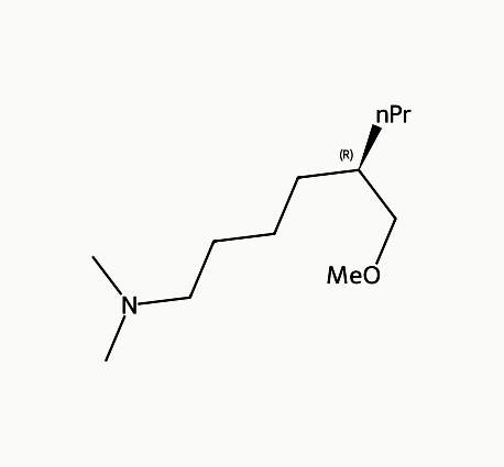 CCC[C@H](CCCCN(C)C)COC